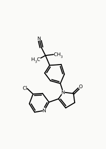 CC(C)(C#N)c1ccc(N2C(=O)CC=C2c2cc(Cl)ccn2)cc1